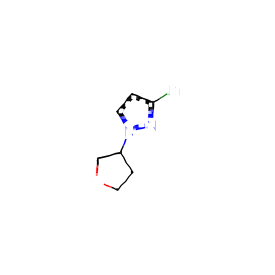 Brc1ccn(C2CCOC2)n1